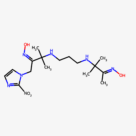 CC(=NO)C(C)(C)NCCCNC(C)(C)C(Cn1ccnc1[N+](=O)[O-])=NO